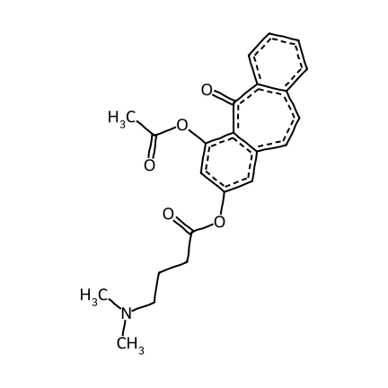 CC(=O)Oc1cc(OC(=O)CCCN(C)C)cc2ccc3ccccc3c(=O)c12